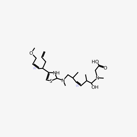 C=CCC(/C=C\COC)C1=CSC(N(C)CC(C)/C=C\C(C)C(O)N(C)CC(=O)O)N1